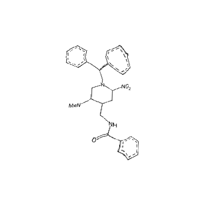 CNC1CN(C(c2ccccc2)c2ccccc2)C([N+](=O)[O-])CC1CNC(=O)c1ccccc1